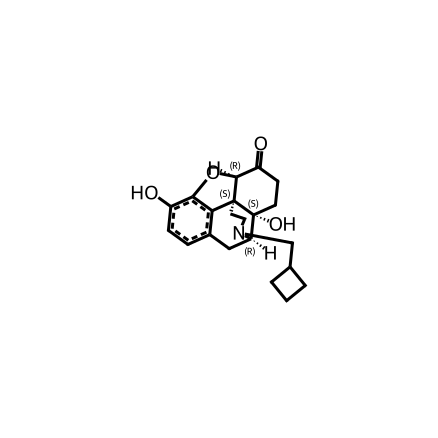 O=C1CC[C@@]2(O)[C@H]3Cc4ccc(O)c5c4[C@@]2(CCN3CC2CCC2)[C@H]1O5